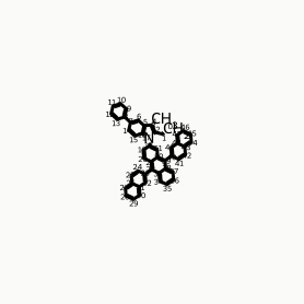 C=Cc1c(C)c2cc(-c3ccccc3)ccc2n1-c1ccc2c(-c3ccc4ccccc4c3)c3ccccc3c(-c3ccc4ccccc4c3)c2c1